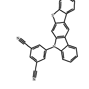 N#Cc1cc(C#N)cc(-n2c3ccccc3c3cc4c(cc32)sc2ccccc24)c1